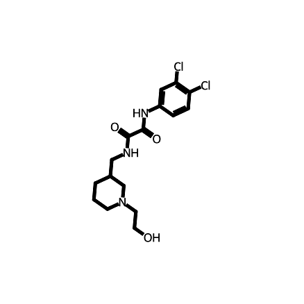 O=C(NCC1CCCN(CCO)C1)C(=O)Nc1ccc(Cl)c(Cl)c1